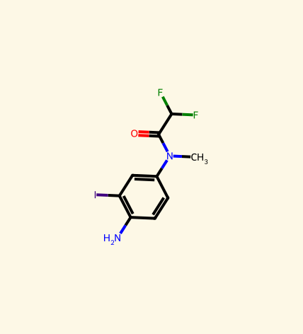 CN(C(=O)C(F)F)c1ccc(N)c(I)c1